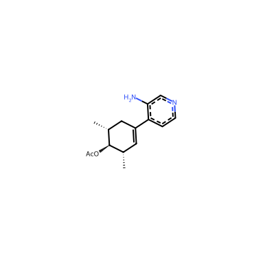 CC(=O)O[C@H]1[C@H](C)CC(c2ccncc2N)=C[C@@H]1C